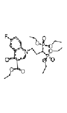 CCOC(=O)c1cn(CCC(P(=O)(OCC)OCC)P(=O)(OCC)OCC)c2ccc(F)cc2c1=O